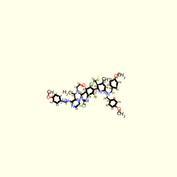 COc1ccc(CNc2nccnc2C(C)N2CCOc3c(Cl)c(-c4nc(N(Cc5ccc(OC)cc5)Cc5ccc(OC)cc5)cc(C)c4C(F)(F)F)c(F)c4nc(Cl)nc2c34)cc1